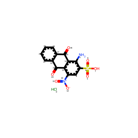 Cl.Nc1c(S(=O)(=O)O)cc([N+](=O)[O-])c2c1C(=O)c1ccccc1C2=O